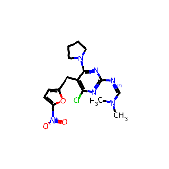 CN(C)/C=N\c1nc(Cl)c(Cc2ccc([N+](=O)[O-])o2)c(N2CCCC2)n1